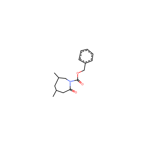 CC1CC(=O)N(C(=O)OCc2ccccc2)CC(C)C1